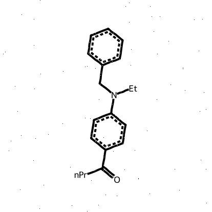 CCCC(=O)c1ccc(N(CC)Cc2ccccc2)cc1